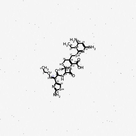 CCO/N=C(\C(=O)NC1C(=O)N2C(C(=O)O)=C(CSC3=NC(N)=CC(N)N3CC)CS[C@@H]12)c1csc(N)n1